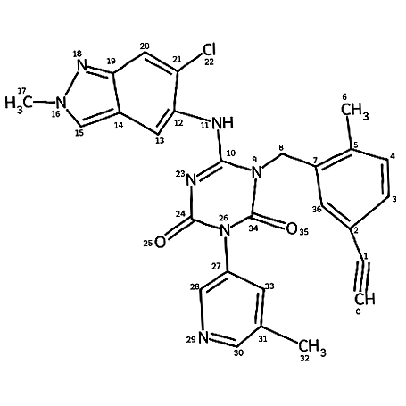 C#Cc1ccc(C)c(Cn2c(Nc3cc4cn(C)nc4cc3Cl)nc(=O)n(-c3cncc(C)c3)c2=O)c1